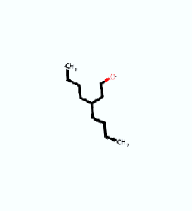 CCCCC(CC[O])CCCC